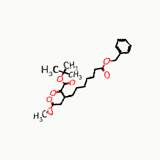 COC(=O)CC(CCCCCCC(=O)OCc1ccccc1)C(=O)C(=O)OC(C)(C)C